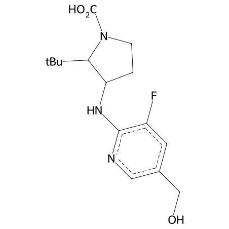 CC(C)(C)C1C(Nc2ncc(CO)cc2F)CCN1C(=O)O